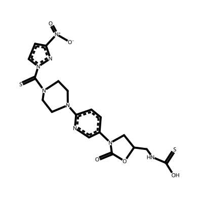 O=C1OC(CNC(O)=S)CN1c1ccc(N2CCN(C(=S)n3ccc([N+](=O)[O-])n3)CC2)nc1